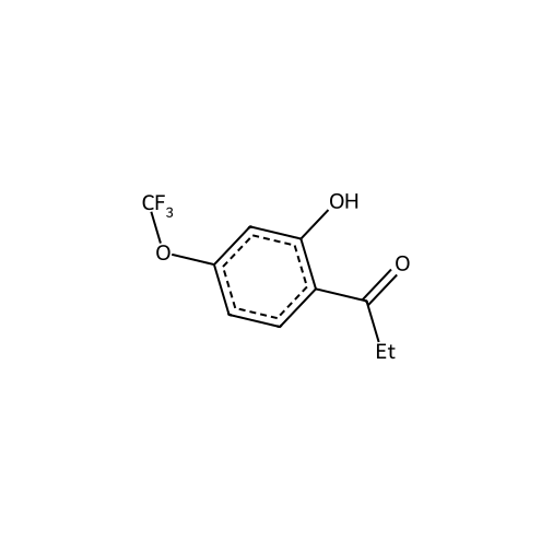 CCC(=O)c1ccc(OC(F)(F)F)cc1O